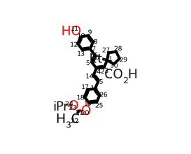 CCC1(C(C(=O)O)=C(C=Cc2ccc(O)cc2)C=Cc2ccc(OC(C)OC(C)C)cc2)CCCC1